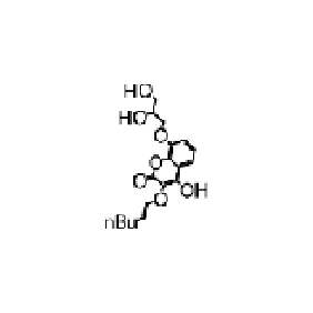 CCCCC=COc1c(O)c2cccc(OCC(O)CO)c2oc1=O